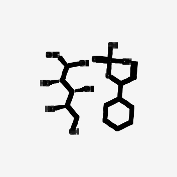 C=CC(OP(=O)(O)O)C1CCCCC1.O=C[C@@H](O)[C@@H](O)[C@H](O)[C@H](O)CO